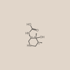 C[C@H]1CNC[C@@H](NC(=O)O)[C@]1(C)O